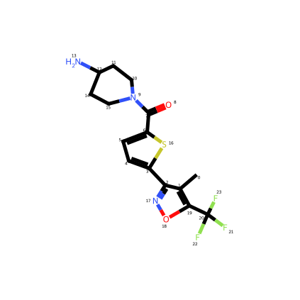 Cc1c(-c2ccc(C(=O)N3CCC(N)CC3)s2)noc1C(F)(F)F